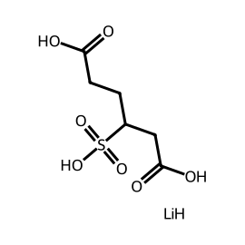 O=C(O)CCC(CC(=O)O)S(=O)(=O)O.[LiH]